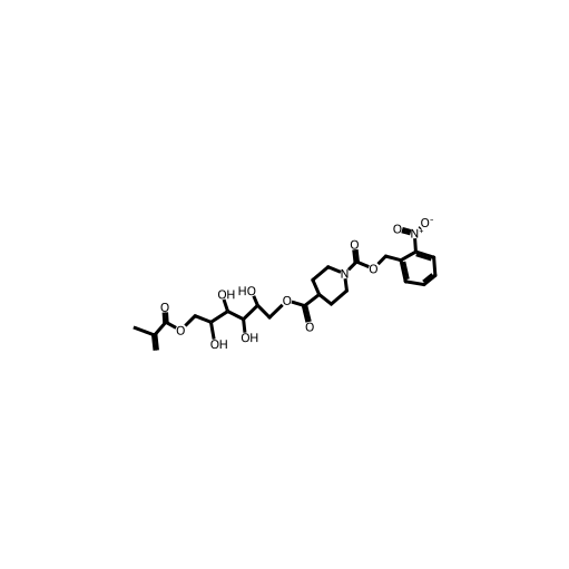 C=C(C)C(=O)OCC(O)C(O)C(O)C(O)COC(=O)C1CCN(C(=O)OCc2ccccc2[N+](=O)[O-])CC1